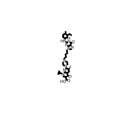 CCc1cc(Nc2nc3c(ncn3CCCCCN3CCN(c4nc5c(cc4F)c(=O)c(C(=O)O)cn5C4CC4)CC3)c(=O)[nH]2)ccc1C